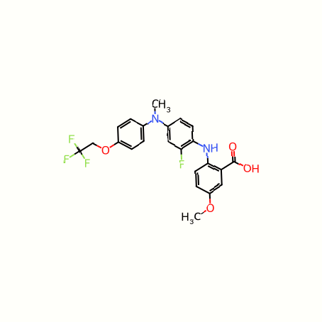 COc1ccc(Nc2ccc(N(C)c3ccc(OCC(F)(F)F)cc3)cc2F)c(C(=O)O)c1